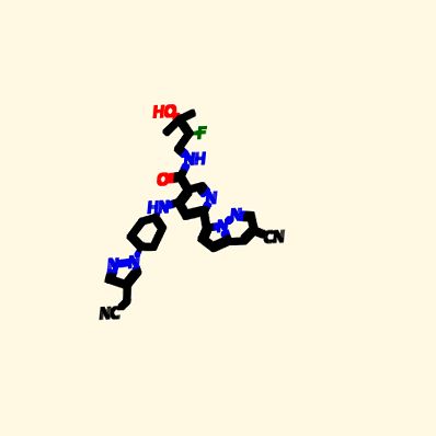 CC(C)(O)[C@H](F)CNC(=O)c1cnc(-c2ccc3cc(C#N)cnn23)cc1N[C@H]1CC[C@H](n2cc(CC#N)cn2)CC1